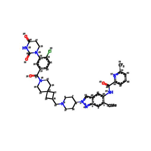 COc1cc2nn(C3CCN(CC4CC5(CCN(C(=O)c6ccc(Cl)c(N7CCC(=O)NC7=O)c6)CC5)C4)CC3)cc2cc1NC(=O)c1cccc(C(F)(F)F)n1